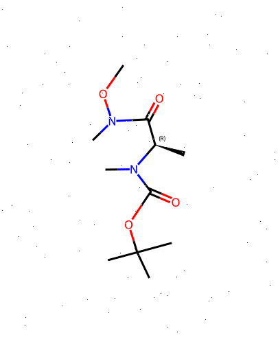 CON(C)C(=O)[C@@H](C)N(C)C(=O)OC(C)(C)C